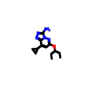 CCC(CC)Oc1cc(C2CC2)c2nnc(N)n2n1